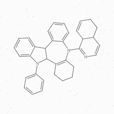 C1=CC2C(N3C4=C(CCCC4)C4C(c5ccccc53)c3ccccc3N4c3ccccc3)=NC=CC2CC1